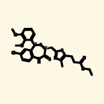 CCOC(=O)CCc1sc(C[C@H]2S[C@H](c3cccc(OC)c3OC)c3cc(Cl)ccc3NC2=S)nc1C